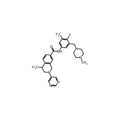 CC1CN(c2cncnc2)Cc2cc(C(=O)Nc3cc(CN4CCN(C)CC4)c(F)c(C(F)(F)F)c3)ccc21